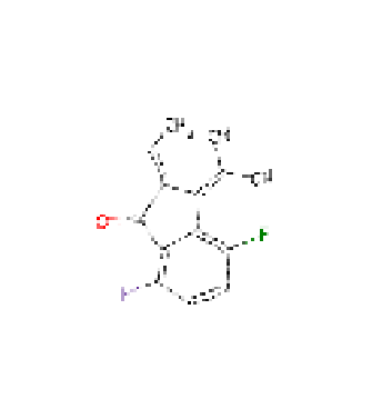 C/C=C1/C(=O)c2c(I)ccc(F)c2C1=C(C#N)C#N